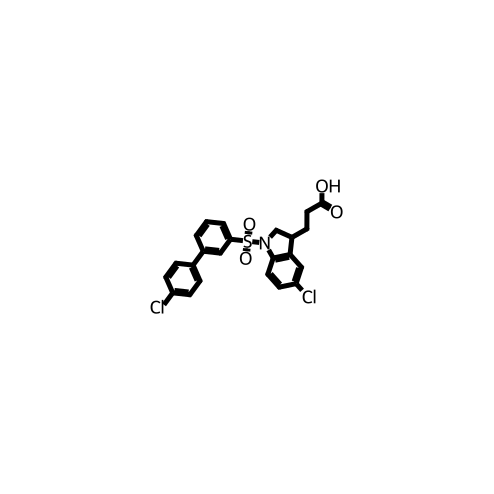 O=C(O)CCC1CN(S(=O)(=O)c2cccc(-c3ccc(Cl)cc3)c2)c2ccc(Cl)cc21